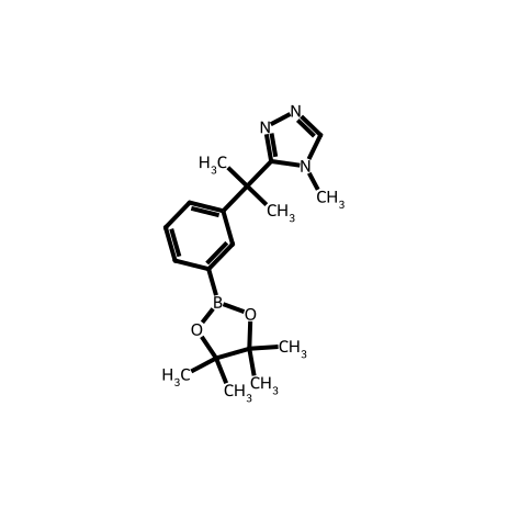 Cn1cnnc1C(C)(C)c1cccc(B2OC(C)(C)C(C)(C)O2)c1